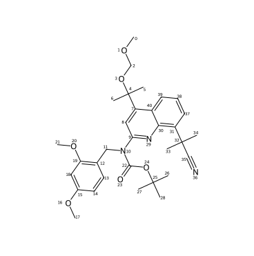 COCOC(C)(C)c1cc(N(Cc2ccc(OC)cc2OC)C(=O)OC(C)(C)C)nc2c(C(C)(C)C#N)cccc12